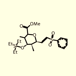 CC[Si](CC)(CC)O[C@H]1C(C)C(C(=O)OC)O[C@@H](/C=C/S(=O)(=O)c2ccccc2)[C@H]1C